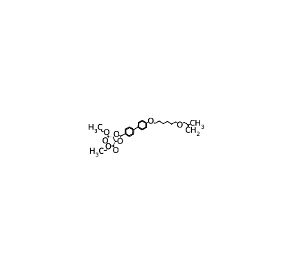 C=C(C)COCCCCCCOc1ccc(-c2ccc(C3O[C@@H](C(=O)OCC)[C@H](C(=O)OCC)O3)cc2)cc1